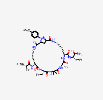 COc1ccc(N2N=C3CC2C(=O)NCCCC[C@H](NC(=O)[C@@H](NC(C)=O)C(C)C)C(=O)N[C@@H](CC(C)C)C(=O)NC(C)(C)C(=O)N[C@@H](C(C)C)C(=O)N[C@H](C(=O)N[C@@H](CC(C)C)C(N)=O)CCCCNC3=O)cc1